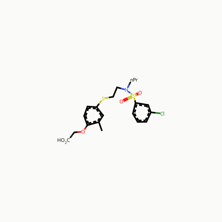 CCCN(CCSc1ccc(OCC(=O)O)c(C)c1)S(=O)(=O)c1cccc(Cl)c1